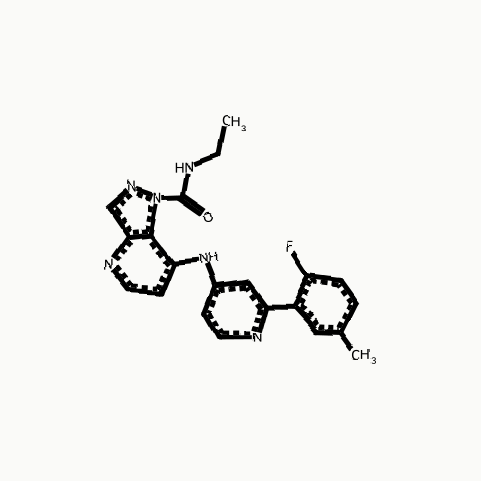 CCNC(=O)n1ncc2nccc(Nc3ccnc(-c4cc(C)ccc4F)c3)c21